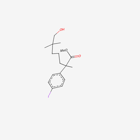 COC(=O)C(C)(CCCC(C)(C)CO)c1ccc(I)cc1